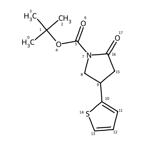 CC(C)(C)OC(=O)N1CC(c2cccs2)CC1=O